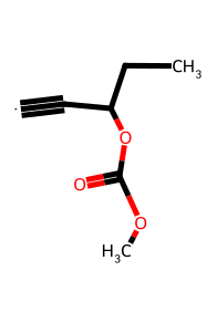 [C]#CC(CC)OC(=O)OC